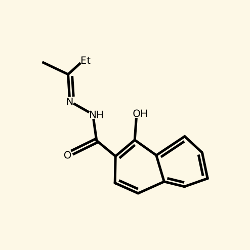 CC/C(C)=N\NC(=O)c1ccc2ccccc2c1O